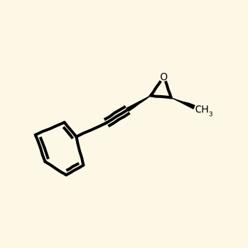 C[C@@H]1O[C@@H]1C#Cc1ccccc1